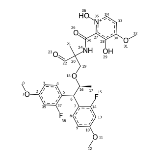 COc1ccc(C(c2ccc(OC)cc2F)[C@H](C)OCC(C)(C=O)NC(=O)c2c(O)c(OC)cc[n+]2O)c(F)c1